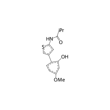 COc1ccc(-c2csc(NC(=O)C(C)C)c2)c(O)c1